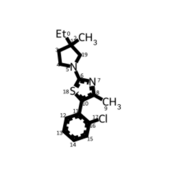 CCC1(C)CCN(c2nc(C)c(-c3ccccc3Cl)s2)C1